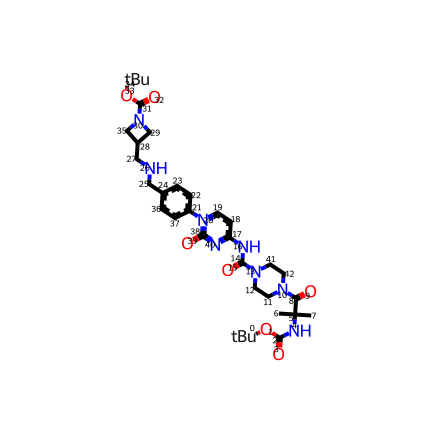 CC(C)(C)OC(=O)NC(C)(C)C(=O)N1CCN(C(=O)Nc2ccn(-c3ccc(CNCC4CN(C(=O)OC(C)(C)C)C4)cc3)c(=O)n2)CC1